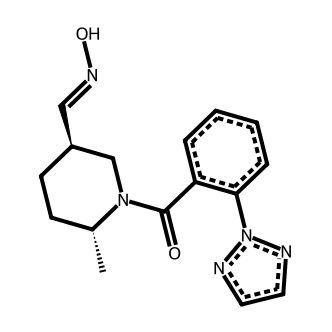 C[C@@H]1CC[C@@H](/C=N/O)CN1C(=O)c1ccccc1-n1nccn1